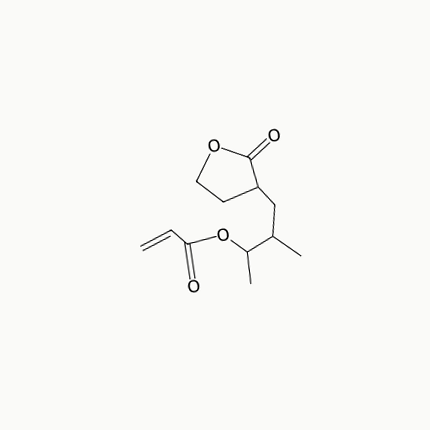 C=CC(=O)OC(C)C(C)CC1CCOC1=O